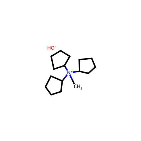 C[N+](C1CCCC1)(C1CCCC1)C1CCCC1.[OH-]